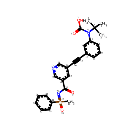 CC(C)(C)N(C(=O)O)c1cccc(C#Cc2cncc(C(=O)N=S(C)(=O)c3ccccc3)c2)c1